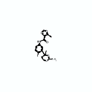 Cc1ncsc1C(=O)Nc1ccc(F)c(C2(C)CCSC(N)=N2)c1